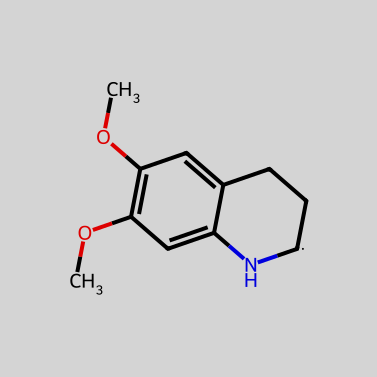 COc1cc2c(cc1OC)N[CH]CC2